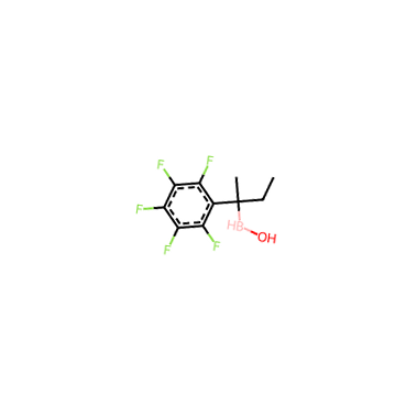 CCC(C)(BO)c1c(F)c(F)c(F)c(F)c1F